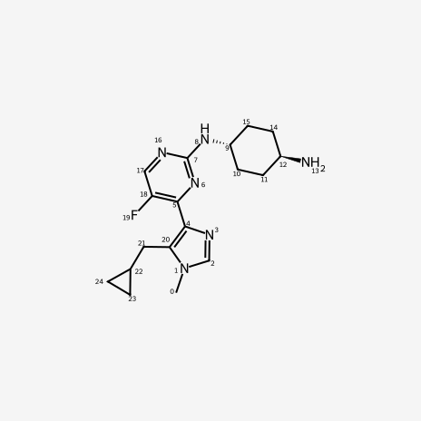 Cn1cnc(-c2nc(N[C@H]3CC[C@H](N)CC3)ncc2F)c1CC1CC1